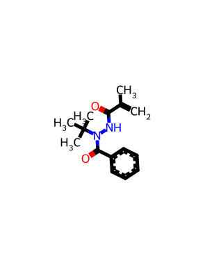 C=C(C)C(=O)NN(C(=O)c1ccccc1)C(C)(C)C